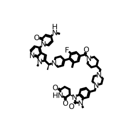 CNc1ccn(-c2ccnc3c2cc([C@H](C)N2CC=C(c4c(C)cc(C(=O)N5CCC(CN6CCN(Cc7ccc8c(c7)n(C)c(=O)n8[C@@H]7CCC(=O)NC7=O)CC6)CC5)cc4F)CC2)n3C)c(=O)c1